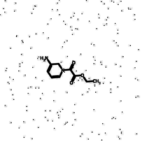 CCOC(=O)C(=O)N1C=CC=C(N)C1